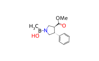 COC(=O)[C@@H]1CN(B(C)O)C[C@H]1c1ccccc1